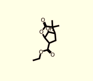 CCOC(=O)C1CC2C(O)C1OC(=O)C2(C)C